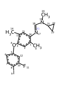 Cc1cc(Oc2ccc(I)c(F)c2)c(C)cc1/N=C/N(C)C1CC1